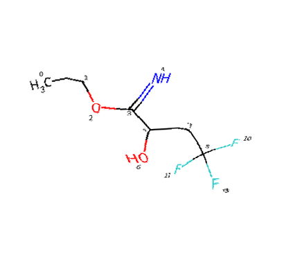 CCOC(=N)C(O)CC(F)(F)F